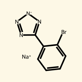 Brc1ccccc1-c1nn[n-]n1.[Na+]